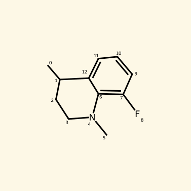 CC1CCN(C)c2c(F)cccc21